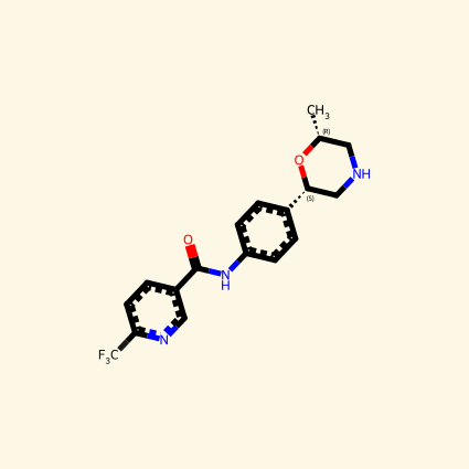 C[C@@H]1CNC[C@H](c2ccc(NC(=O)c3ccc(C(F)(F)F)nc3)cc2)O1